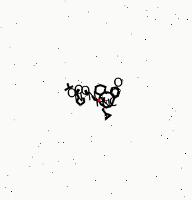 COc1ccc2c(c1)C13CCCC4C1[C@H](CCC(C2)N(CC1CC1)CC3)CN4C(=O)[C@@H]1CCCN1C(=O)OC(C)(C)C